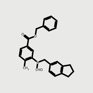 Cc1ccc(C(=O)OCc2ccccc2)cc1N(C=O)Cc1ccc2c(c1)CCC2